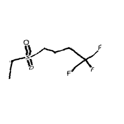 C[CH]S(=O)(=O)CCCC(F)(F)F